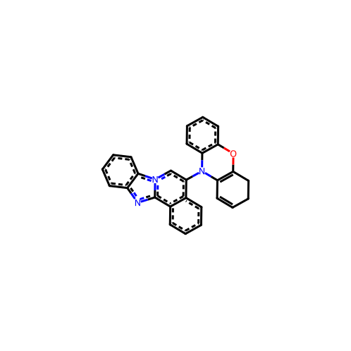 C1=CC2=C(CC1)Oc1ccccc1N2c1cn2c3ccccc3nc2c2ccccc12